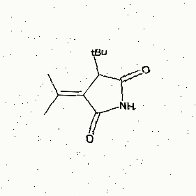 CC(C)=C1C(=O)NC(=O)C1C(C)(C)C